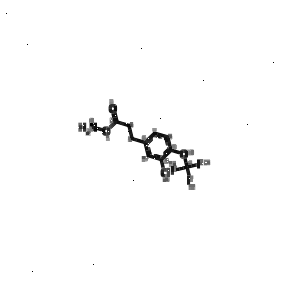 NOC(=O)CCc1ccc(OC(F)(F)F)c(Cl)c1